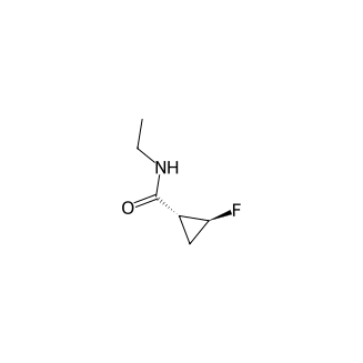 CCNC(=O)[C@H]1C[C@@H]1F